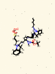 CCCCCN1/C(=C/C=C2\CCC(/C=C/C3=[N+](CCCCSOOO)c4ccccc4C3(C)C)=C2N(C)C(=O)OC(C)(C)C)C(C)(C)c2ccccc21